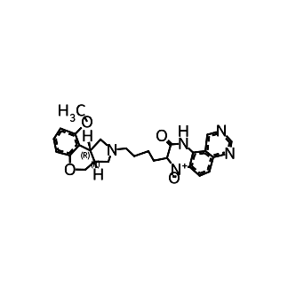 COc1cccc2c1[C@@H]1CN(CCCCC3C(=O)Nc4c(ccc5ncncc45)[N+]3=O)C[C@@H]1CO2